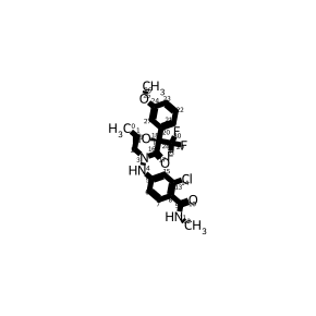 CCCN(Nc1ccc(C(=O)NC)c(Cl)c1)C(=O)[C@](O)(c1cccc(OC)c1)C(F)(F)F